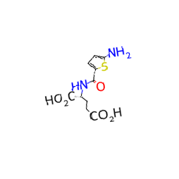 Nc1ccc(C(=O)N[C@H](CCC(=O)O)C(=O)O)s1